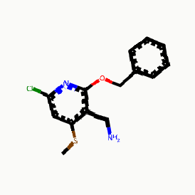 CSc1cc(Cl)nc(OCc2ccccc2)c1CN